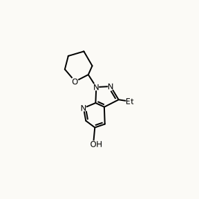 CCc1nn(C2CCCCO2)c2ncc(O)cc12